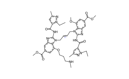 CCn1nc(C)cc1C(=O)Nc1nc2cc(C(=O)OC)cc(OC)c2n1C/C=C/Cn1c(NC(=O)c2cc(C)nn2CC)nc2cc(C(=O)OC)cc(OCCCNC)c21